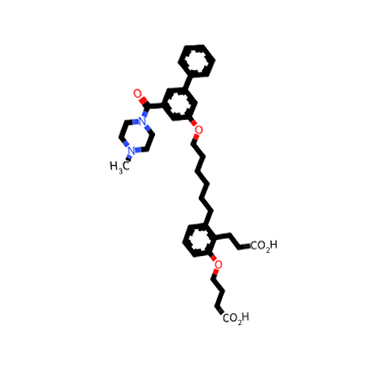 CN1CCN(C(=O)c2cc(OCCCCCCc3cccc(OCCCC(=O)O)c3CCC(=O)O)cc(-c3ccccc3)c2)CC1